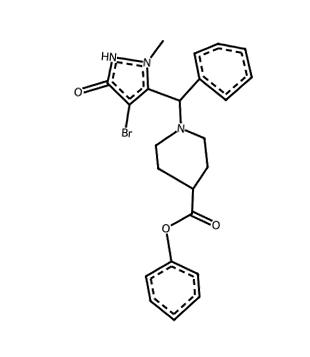 Cn1[nH]c(=O)c(Br)c1C(c1ccccc1)N1CCC(C(=O)Oc2ccccc2)CC1